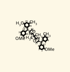 COc1cccc(C(c2cccc(C)c2)[C@H]2COC(C(C)(C)C3=NC([C@@H](c4cc(C)cc(C)c4)c4cccc(OC)c4)CO3)=N2)c1